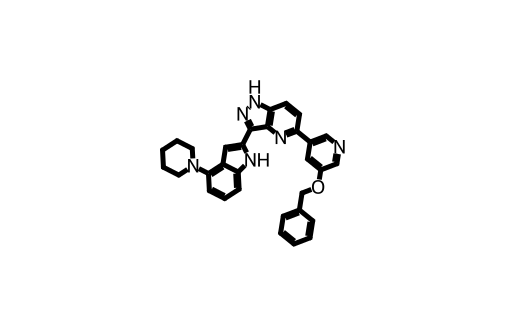 c1ccc(COc2cncc(-c3ccc4[nH]nc(-c5cc6c(N7CCCCC7)cccc6[nH]5)c4n3)c2)cc1